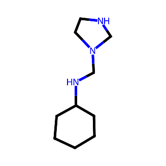 C1CCC(NCN2CCNC2)CC1